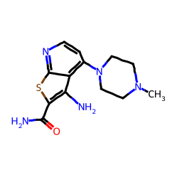 CN1CCN(c2ccnc3sc(C(N)=O)c(N)c23)CC1